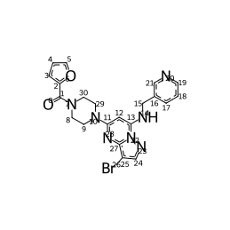 O=C(c1ccco1)N1CCN(c2cc(NCc3cccnc3)n3ncc(Br)c3n2)CC1